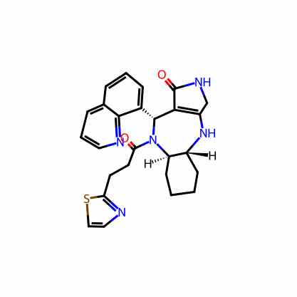 O=C1NCC2=C1[C@@H](c1cccc3cccnc13)N(C(=O)CCc1nccs1)[C@@H]1CCCC[C@H]1N2